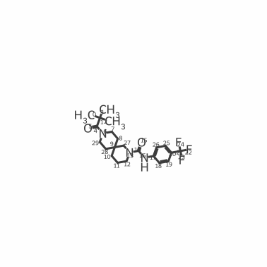 CC(C)(C)C(=O)N1CCC2(CCCN(C(=O)Nc3ccc(C(F)(F)F)cc3)C2)CC1